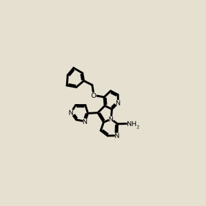 Nc1nccc2c(-c3ccncn3)c3c(OCc4ccccc4)ccnc3n12